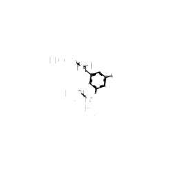 Clc1cc(Cl)cc(Cl)c1.NN.O=S(=O)(O)O